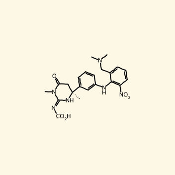 CN(C)Cc1cccc([N+](=O)[O-])c1Nc1cccc([C@]2(C)CC(=O)N(C)/C(=N/C(=O)O)N2)c1